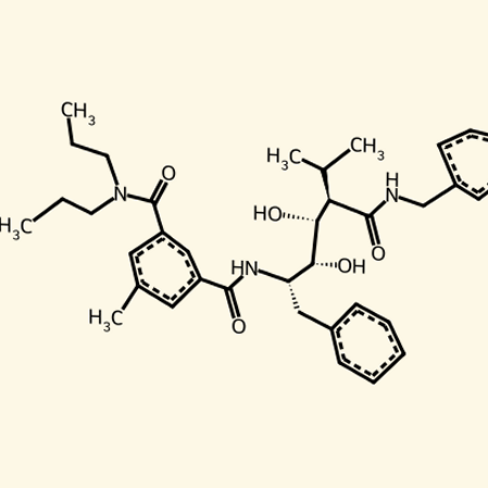 CCCN(CCC)C(=O)c1cc(C)cc(C(=O)N[C@@H](Cc2ccccc2)[C@@H](O)[C@H](O)[C@H](C(=O)NCc2ccccc2)C(C)C)c1